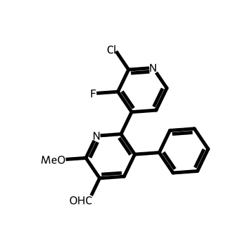 COc1nc(-c2ccnc(Cl)c2F)c(-c2ccccc2)cc1C=O